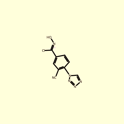 N#Cc1cc(/C(Cl)=N/O)ccc1-n1cnnn1